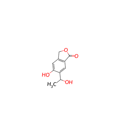 CC(O)c1cc2c(cc1O)COC2=O